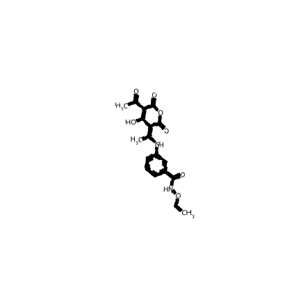 CCONC(=O)c1cccc(NC(C)=C2C(=O)OC(=O)C(C(C)=O)=C2O)c1